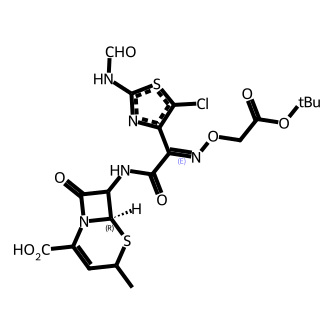 CC1C=C(C(=O)O)N2C(=O)C(NC(=O)/C(=N/OCC(=O)OC(C)(C)C)c3nc(NC=O)sc3Cl)[C@H]2S1